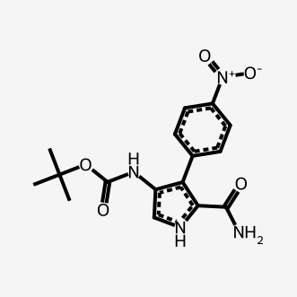 CC(C)(C)OC(=O)Nc1c[nH]c(C(N)=O)c1-c1ccc([N+](=O)[O-])cc1